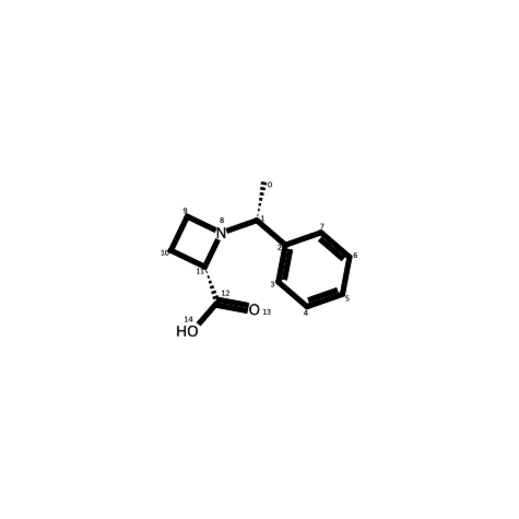 C[C@H](c1ccccc1)N1CC[C@H]1C(=O)O